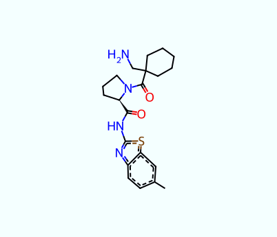 Cc1ccc2nc(NC(=O)[C@H]3CCCN3C(=O)C3(CN)CCCCC3)sc2c1